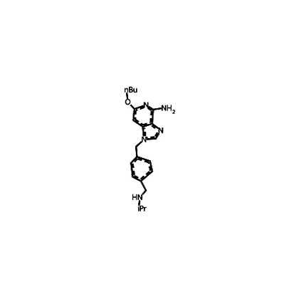 CCCCOc1cc2c(ncn2Cc2ccc(CNC(C)C)cc2)c(N)n1